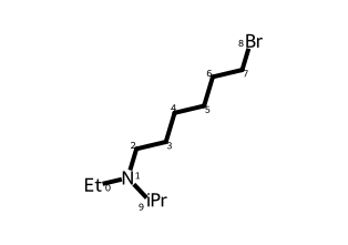 CCN(CCCCCCBr)C(C)C